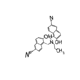 CCCN(Cc1c(O)ccc2cc(C#N)ccc12)Cc1c(O)ccc2cc(C#N)ccc12